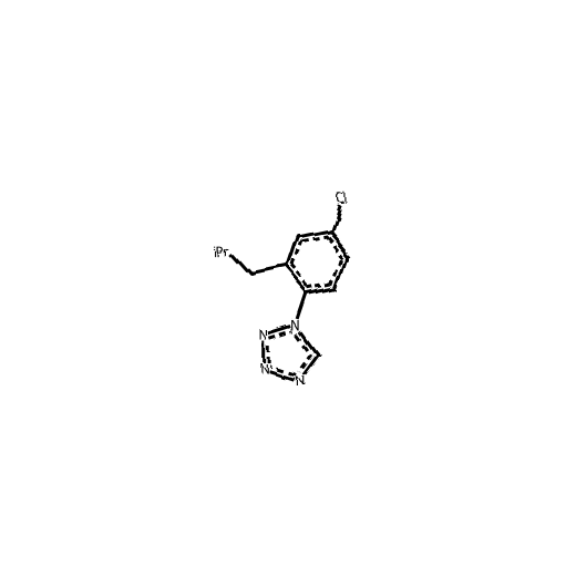 CC(C)Cc1cc(Cl)ccc1-n1cnnn1